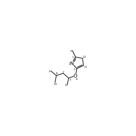 CC1=NC(OC(C)CC(C)C)=CC1